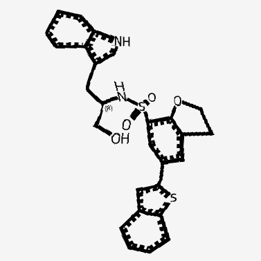 O=S(=O)(N[C@@H](CO)Cc1c[nH]c2ccccc12)c1cc(-c2cc3ccccc3s2)cc2c1OCC2